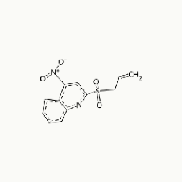 C=CCS(=O)(=O)c1cc([N+](=O)[O-])c2ccccc2n1